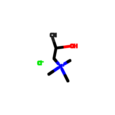 C[N+](C)(C)CC(O)C#N.[Cl-]